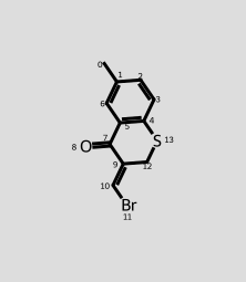 Cc1ccc2c(c1)C(=O)/C(=C/Br)CS2